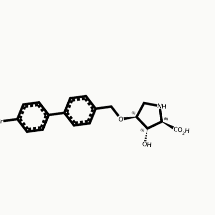 O=C(O)[C@@H]1NC[C@H](OCc2ccc(-c3ccc(Br)cc3)cc2)[C@H]1O